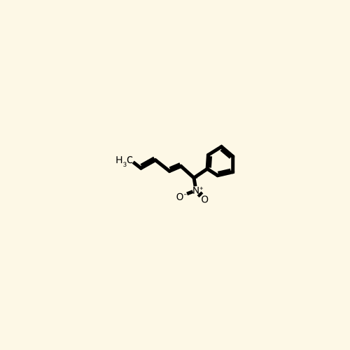 CC=CC=C[C](c1ccccc1)[N+](=O)[O-]